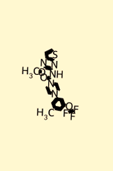 COc1nc2ccsc2nc1NC(=O)N1CCN(c2cc(C)cc(OC(F)(F)F)c2)CC1